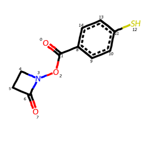 O=C(ON1CCC1=O)c1ccc(S)cc1